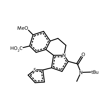 COc1cc2c(cc1C(=O)O)-c1c(-c3cccs3)cc(C(=O)N(C)C(C)(C)C)n1CC2